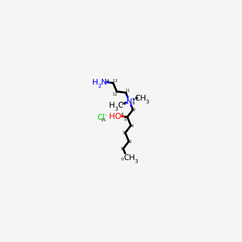 CCCCCC(O)C[N+](C)(C)CCCN.[Cl-]